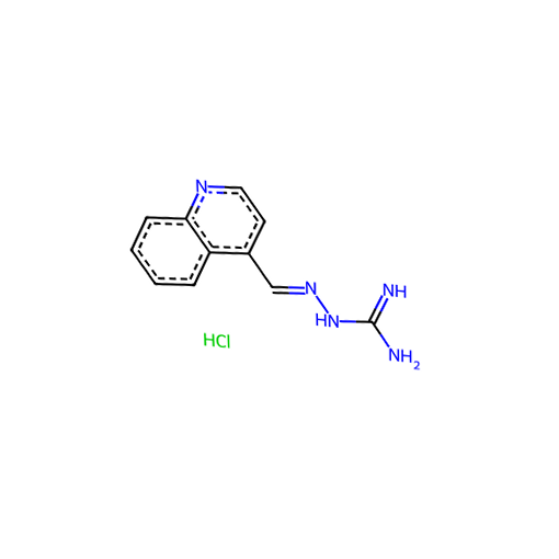 Cl.N=C(N)N/N=C/c1ccnc2ccccc12